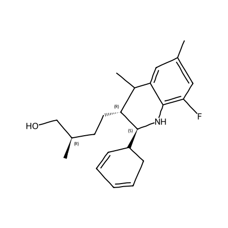 Cc1cc(F)c2c(c1)C(C)[C@@H](CC[C@@H](C)CO)[C@H](C1C=CC=CC1)N2